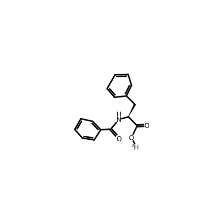 [2H]OC(=O)[C@H](Cc1ccccc1)NC(=O)c1ccccc1